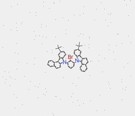 CC(C)(C)c1ccc2c(c1)c1c3ccccc3ccc1n2-c1cccc(-n2c3ccc(C(C)(C)C)cc3c3ccc4ccccc4c32)c1Br